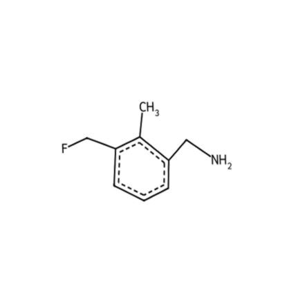 Cc1c(CN)cccc1CF